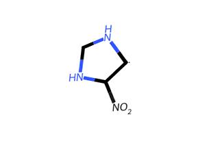 O=[N+]([O-])C1[CH]NCN1